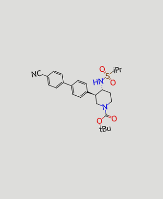 CC(C)S(=O)(=O)N[C@@H]1CCN(C(=O)OC(C)(C)C)C[C@H]1c1ccc(-c2ccc(C#N)cc2)cc1